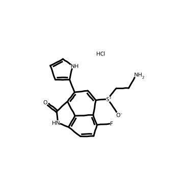 Cl.NCC[S+]([O-])c1cc(-c2ccc[nH]2)c2c3c(ccc(F)c13)NC2=O